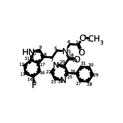 COC(=O)CN(CCc1c[nH]c2ccc(F)cc12)C(=O)c1nccnc1-c1ccccc1